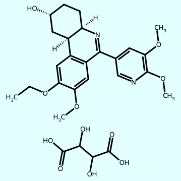 CCOc1cc2c(cc1OC)C(c1cnc(OC)c(OC)c1)=N[C@@H]1CC[C@@H](O)C[C@H]21.O=C(O)C(O)C(O)C(=O)O